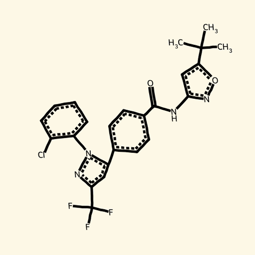 CC(C)(C)c1cc(NC(=O)c2ccc(-c3cc(C(F)(F)F)nn3-c3ccccc3Cl)cc2)no1